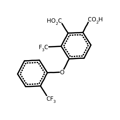 O=C(O)c1ccc(Oc2ccccc2C(F)(F)F)c(C(F)(F)F)c1C(=O)O